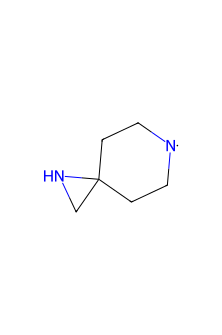 C1CC2(CC[N]1)CN2